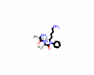 CC(C)[C@H](N)C(=O)N[C@@H](C)C(=O)N(c1ccccc1)[C@@H](CCCCN)C(=O)O